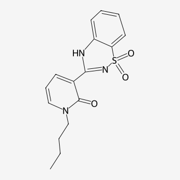 CCCCn1cccc(C2=NS(=O)(=O)c3ccccc3N2)c1=O